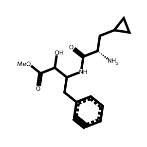 COC(=O)C(O)C(Cc1c#cccc1)NC(=O)[C@@H](N)CC1CC1